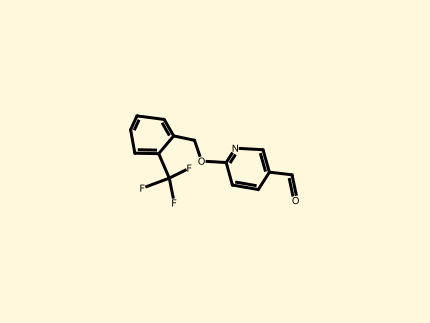 O=Cc1ccc(OCc2ccccc2C(F)(F)F)nc1